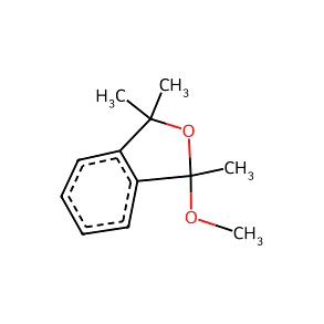 COC1(C)OC(C)(C)c2ccccc21